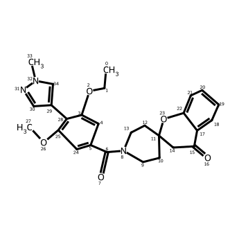 CCOc1cc(C(=O)N2CCC3(CC2)CC(=O)c2c[c]ccc2O3)cc(OC)c1-c1cnn(C)c1